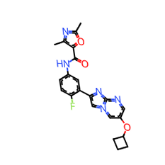 Cc1nc(C)c(C(=O)Nc2ccc(F)c(-c3cn4cc(OC5CCC5)cnc4n3)c2)o1